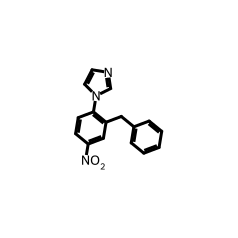 O=[N+]([O-])c1ccc(-n2ccnc2)c(Cc2ccccc2)c1